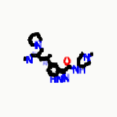 C=N/C=C(\C=C(/C)c1ccc2[nH]nc(C(=O)NC3CCN(C)CC3)c2c1)CN1CCCCC1